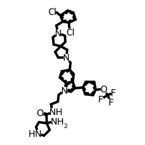 NC1(C(=O)NCCCn2cc(-c3ccc(OC(F)(F)F)cc3)c3cc(CN4CCC5(CCN(Cc6c(Cl)cccc6Cl)CC5)C4)ccc32)CCNCC1